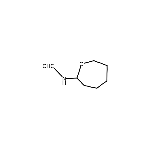 O=[C]NC1CCCCCO1